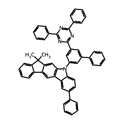 CC1(C)c2ccccc2-c2cc3c4cc(-c5ccccc5)ccc4n(-c4cc(-c5ccccc5)cc(-c5nc(-c6ccccc6)nc(-c6ccccc6)n5)c4)c3cc21